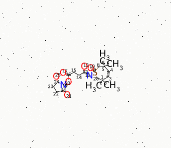 CC1(C)C#CC(C)(C)CS(=O)(=NC(=O)CCC(=O)ON2C(=O)CCC2=O)C1